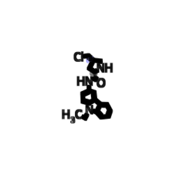 CCn1c2ccccc2c2cc(NC(=O)[C@@H]3C/C(=C\Cl)CN3)ccc21